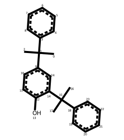 CC(C)(c1ccccc1)c1c[c]c(O)c(C(C)(C)c2ccccc2)c1